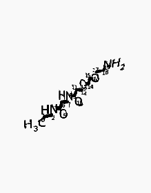 CCCNC(=O)CCNC(=O)CCOCCOCCN